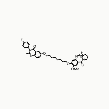 COc1cc2c(cc1OCCCCCCCCOc1ccc3nc(C)n(-c4ccc(F)cc4)c(=O)c3c1)N=C[C@@H]1CCCN1C2=O